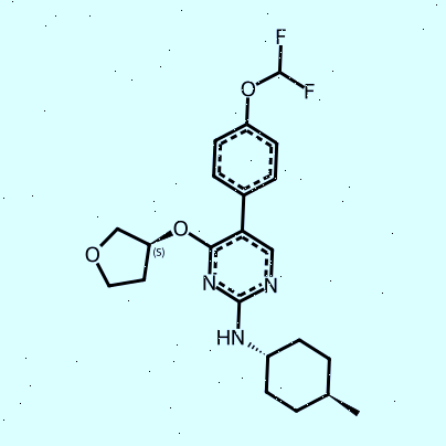 C[C@H]1CC[C@H](Nc2ncc(-c3ccc(OC(F)F)cc3)c(O[C@H]3CCOC3)n2)CC1